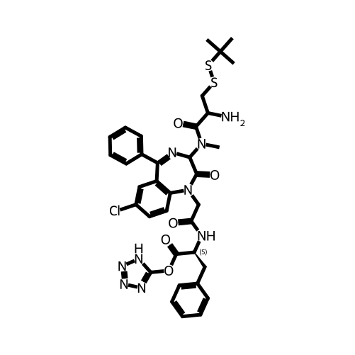 CN(C(=O)C(N)CSSC(C)(C)C)C1N=C(c2ccccc2)c2cc(Cl)ccc2N(CC(=O)N[C@@H](Cc2ccccc2)C(=O)Oc2nnn[nH]2)C1=O